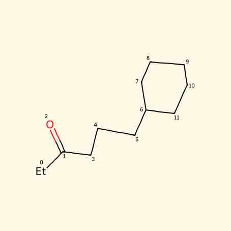 CCC(=O)CCCC1CCCCC1